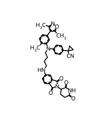 Cc1ccc(-c2c(C)noc2C)cc1N(CCCCNc1ccc2c(c1)C(=O)N(C1CCC(=O)NC1=O)C2=O)c1ccc(C2(C#N)CC2)cc1